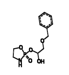 O=P1(OC(O)COCc2ccccc2)NCCO1